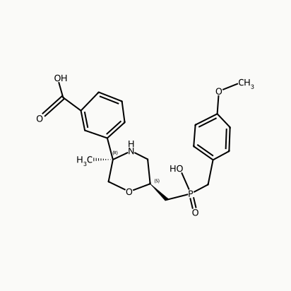 COc1ccc(CP(=O)(O)C[C@@H]2CN[C@](C)(c3cccc(C(=O)O)c3)CO2)cc1